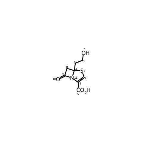 O=C(O)C1=CSC2(CCO)CC(=O)N12